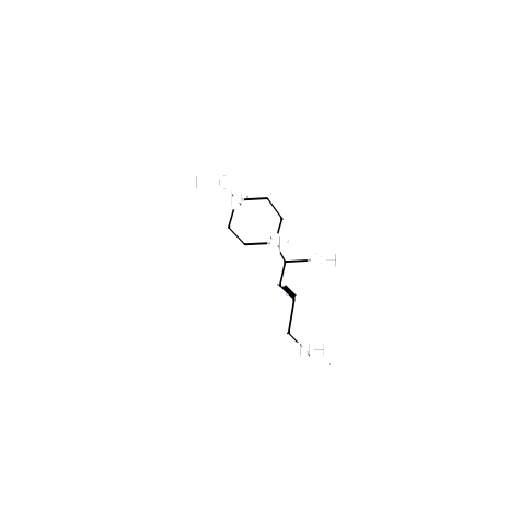 CN1CCN(C(O)/C=C/CN)CC1